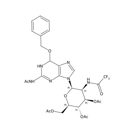 CC(=O)NC1=Nc2c(ncn2[C@@H]2O[C@H](COC(C)=O)[C@@H](OC(C)=O)[C@H](OC(C)=O)[C@@H]2NC(=O)C(F)(F)F)C(OCc2ccccc2)N1